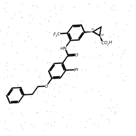 CC(C)c1cc(OCCc2ccccc2)ccc1C(=O)Nc1cc([C@H]2C[C@H]2C(=O)O)ccc1C(F)(F)F